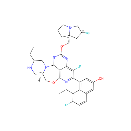 CCc1c(F)ccc2cc(O)cc(-c3nc4c5c(nc(OC[C@]67CCCN6C[C@@H](F)C7)nc5c3F)N3CC(CC)NC[C@@H]3CO4)c12